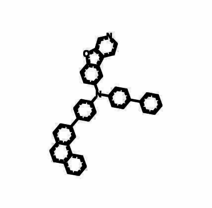 c1ccc(-c2ccc(N(c3ccc(-c4ccc5ccc6ccccc6c5c4)cc3)c3ccc4oc5cnccc5c4c3)cc2)cc1